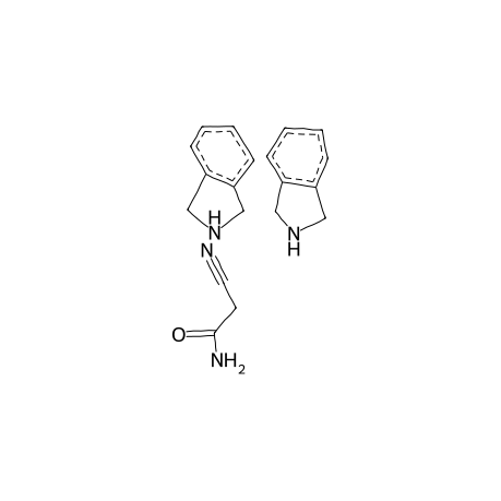 N#CCC(N)=O.c1ccc2c(c1)CNC2.c1ccc2c(c1)CNC2